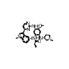 C=CC(=O)Nc1cc(Nc2nccc(-c3cn(C)c4ccccc34)n2)c(OC)cc1N[C@@H]1CCN(C)C1